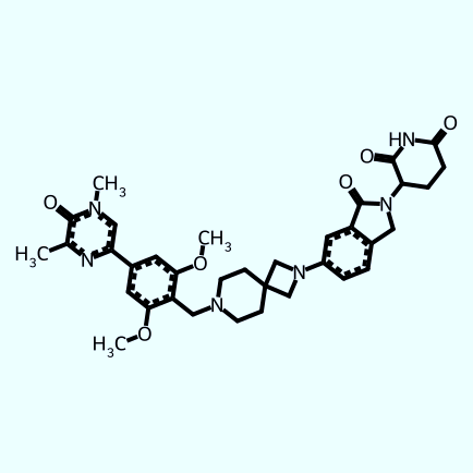 COc1cc(-c2cn(C)c(=O)c(C)n2)cc(OC)c1CN1CCC2(CC1)CN(c1ccc3c(c1)C(=O)N(C1CCC(=O)NC1=O)C3)C2